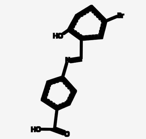 O=C(O)c1ccc(N=Cc2cc(Br)ccc2O)cc1